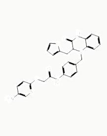 Nc1ccc(SCC(=O)Nc2ccc(CN3c4ccccc4NC(=O)C3Cc3cccs3)cc2)nc1